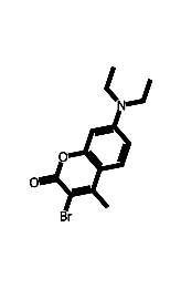 CCN(CC)c1ccc2c(C)c(Br)c(=O)oc2c1